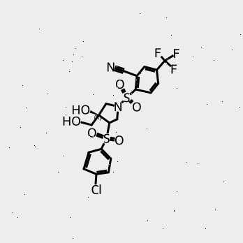 N#Cc1cc(C(F)(F)F)ccc1S(=O)(=O)N1CC(S(=O)(=O)c2ccc(Cl)cc2)[C@](O)(CO)C1